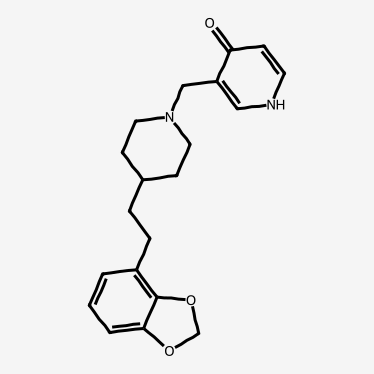 O=c1cc[nH]cc1CN1CCC(CCc2cccc3c2OCO3)CC1